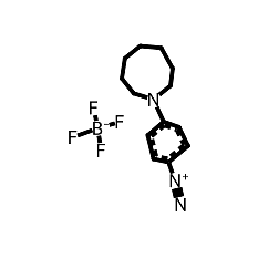 F[B-](F)(F)F.N#[N+]c1ccc(N2CCCCCCC2)cc1